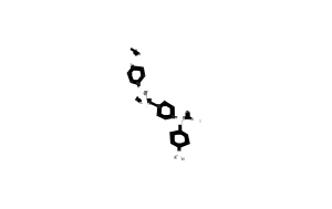 O=C(O)N(c1ccc(-c2ncn(-c3ccc(OC(F)(F)F)cc3)n2)cc1)c1ccc([N+](=O)[O-])cc1